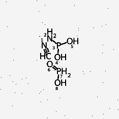 C#N.NP(O)O.O=[PH2]O